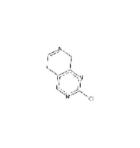 Clc1ncc2c(n1)CN=CC2